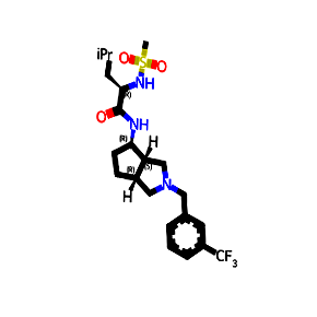 CC(C)C[C@@H](NS(C)(=O)=O)C(=O)N[C@@H]1CC[C@H]2CN(Cc3cccc(C(F)(F)F)c3)C[C@H]21